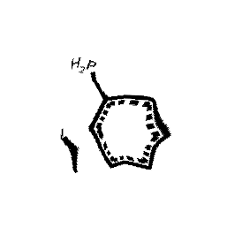 CI.Pc1ccccc1